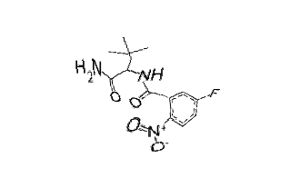 CC(C)(C)C(NC(=O)c1cc(F)ccc1[N+](=O)[O-])C(N)=O